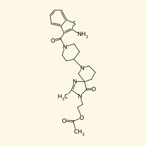 CC(=O)OCCN1C(=O)C2(CCCN(C3CCN(C(=O)c4c(N)sc5ccccc45)CC3)C2)N=C1C